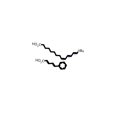 CCCC/C=C/C=C/C=C\CCCCCCCC(=O)O.O=C(O)C=CC=Cc1ccccc1